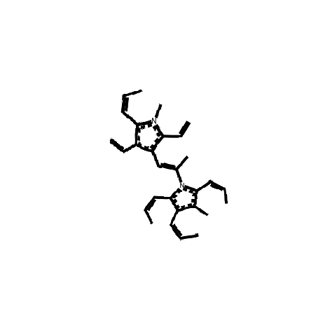 C=Cc1c(/C=C(\C)n2c(/C=C\C)c(C)c(/C=C\C)c2/C=C\C)c(C=C)n(C)c1/C=C\C